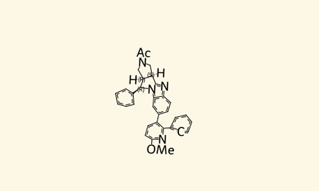 COc1ccc(-c2ccc3nc4n(c3c2)[C@@H](c2ccccc2)[C@H]2CN(C(C)=O)C[C@@H]42)c(-c2ccccc2)n1